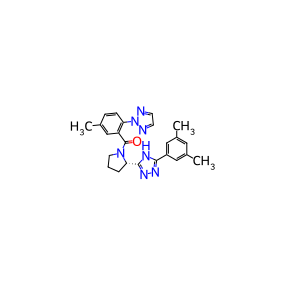 Cc1cc(C)cc(-c2nnc([C@@H]3CCCN3C(=O)c3cc(C)ccc3-n3nccn3)[nH]2)c1